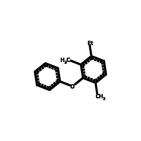 CCc1ccc(C)c(Oc2ccccc2)c1C